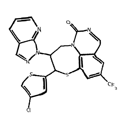 O=c1ncc2cc(C(F)(F)F)cc3c2n1CC(n1ncc2cccnc21)C(c1cc(Cl)cs1)S3